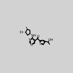 CC[C@H]1C[C@@H](Nc2ncncc2C(=O)c2cc(C(C)O)cs2)C[C@@H]1C